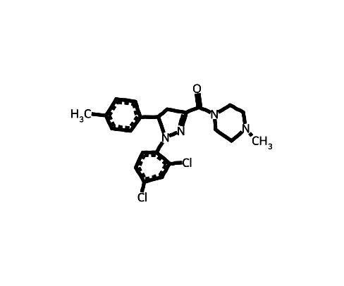 Cc1ccc(C2CC(C(=O)N3CCN(C)CC3)=NN2c2ccc(Cl)cc2Cl)cc1